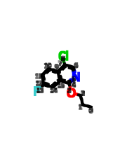 CCCOc1ncc(Cl)c2ccc(F)cc12